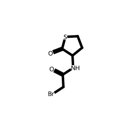 O=C(CBr)NC1CCSC1=O